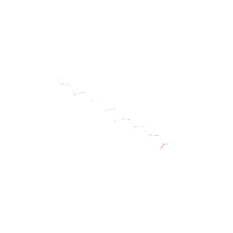 CC(=O)CCCCCOCCOCCCCN